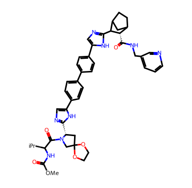 COC(=O)NC(C(=O)N1CC2(C[C@H]1c1ncc(-c3ccc(-c4ccc(-c5cnc(C6C7CCC(C7)[C@@H]6C(=O)NCc6cccnc6)[nH]5)cc4)cc3)[nH]1)OCCO2)C(C)C